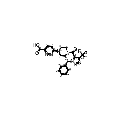 O=C(O)c1ccc(N2CCN(C(=O)c3c(C(F)(F)F)nnn3Cc3ccccc3)CC2)nn1